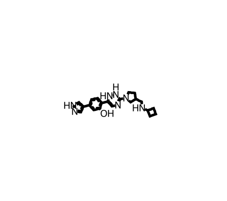 Oc1cc(-c2cn[nH]c2)ccc1C1=CN=C(N2CCC(CNC3CCC3)C2)NN1